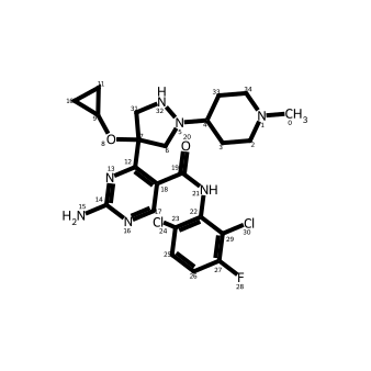 CN1CCC(N2CC(OC3CC3)(c3nc(N)ncc3C(=O)Nc3c(Cl)ccc(F)c3Cl)CN2)CC1